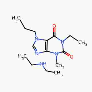 CCCn1cnc2c1c(=O)n(CC)c(=O)n2C.CCNCC